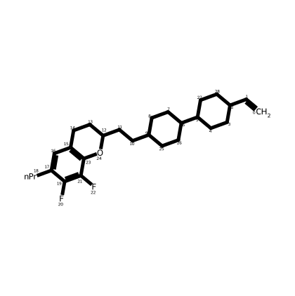 C=CC1CCC(C2CCC(CCC3CCc4cc(CCC)c(F)c(F)c4O3)CC2)CC1